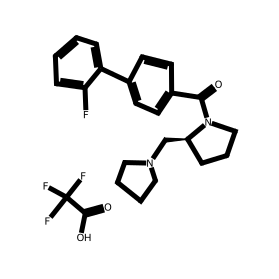 O=C(O)C(F)(F)F.O=C(c1ccc(-c2ccccc2F)cc1)N1CCC[C@H]1CN1CCCC1